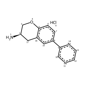 Cl.N[C@H]1COc2ccc(-c3cnccn3)cc2C1